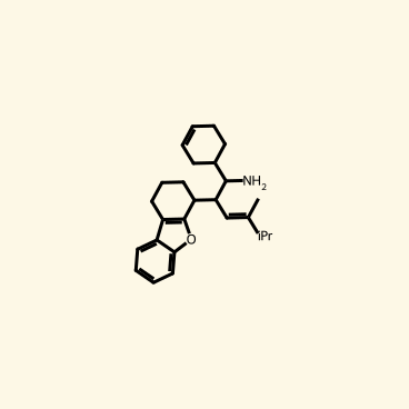 C/C(=C\C(C1CCCc2c1oc1ccccc21)C(N)C1CC=CCC1)C(C)C